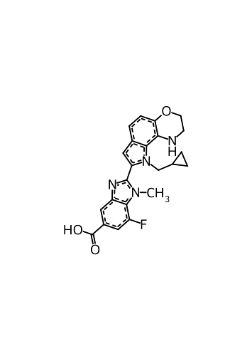 Cn1c(-c2cc3ccc4c(c3n2CC2CC2)NCCO4)nc2cc(C(=O)O)cc(F)c21